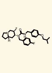 CC(C)COc1ccc(CNC(=O)N(Cc2ccc(F)cc2)[C@@H]2C[C@@H]3CCCN3C[C@H]2F)cc1